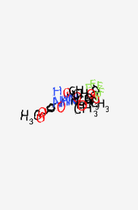 CC(=O)OCc1ccc(NC(=O)CNC(=O)C(NC(=O)CC(C)(C)OCCC(C)(C)C(=O)Oc2c(F)c(F)c(F)c(F)c2F)C(C)C)cc1